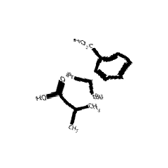 CC(C)C(=O)O.CC(C)CC(C)(C)C.O=C(O)c1ccccc1